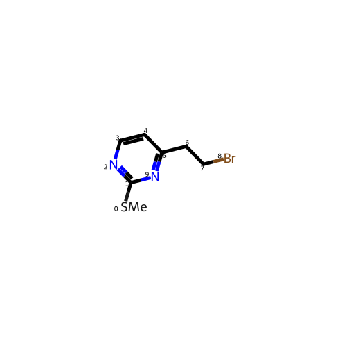 CSc1nccc(CCBr)n1